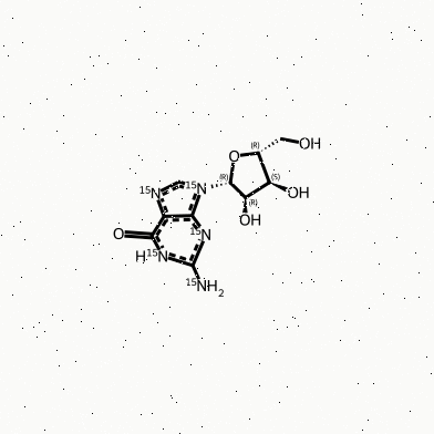 [15NH2]c1[15n]c2c([15n]c[15n]2[C@@H]2O[C@H](CO)[C@@H](O)[C@H]2O)c(=O)[15nH]1